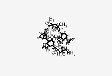 COc1cc(C(C)(C)C(C)(C)CC(C)(C)CN)cc(OC)c1C1C=C(CNC(=O)C(C)(C)CC(C)(C)CSc2ccc([N+](=O)[O-])c3nonc23)C2CC1C2(C)C